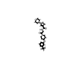 O=C(NCC(=O)N1CCC(Oc2cccc(C(F)(F)F)c2)CC1)c1cn(N2CCOCC2)nn1